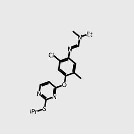 CCN(C)C=Nc1cc(C)c(Oc2ccnc(SC(C)C)n2)cc1Cl